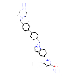 Cc1cc(C(N)=O)nn1-c1ccc2c(ccn2Cc2ccc(-c3ccc(CN4CCNCC4)cc3)cc2)c1